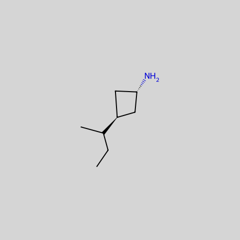 CCC(C)[C@H]1C[C@H](N)C1